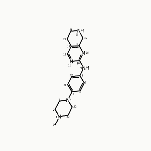 CN1CCN(c2ccc(Nc3ncc4c(n3)CNCC4)cc2)CC1